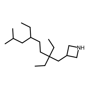 CCC(CCC(CC)(CC)CC1CNC1)CC(C)C